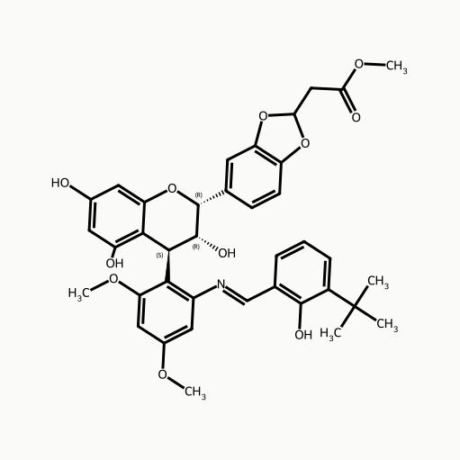 COC(=O)CC1Oc2ccc([C@H]3Oc4cc(O)cc(O)c4[C@H](c4c(N=Cc5cccc(C(C)(C)C)c5O)cc(OC)cc4OC)[C@H]3O)cc2O1